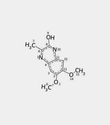 COc1cc2nc(C)c(O)nc2cc1OC